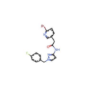 O=C(Cc1ccc(Br)nc1)Nc1ccn(Cc2ccc(F)cc2)n1